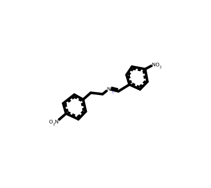 O=[N+]([O-])c1ccc(/C=N/CCc2ccc([N+](=O)[O-])cc2)cc1